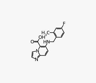 Cc1cc(F)ccc1CNc1ccc2nccn2c1C(=O)O